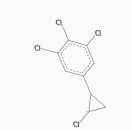 Cl[C]1CC1c1cc(Cl)c(Cl)c(Cl)c1